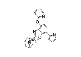 O=C(O)N1C2CC1CN(c1nc3c(Oc4ncccn4)ccc(-c4nccs4)c3o1)C2